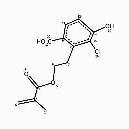 C=C(C)C(=O)OCCc1c(C(=O)O)ccc(O)c1Cl